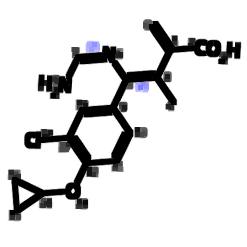 C=C(C(=O)O)/C(C)=C(\N=C/N)c1ccc(OC2CC2)c(Cl)c1